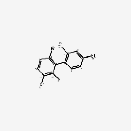 CCc1ccc(-c2c(Br)[c]cc(Br)c2C)c(Cl)c1